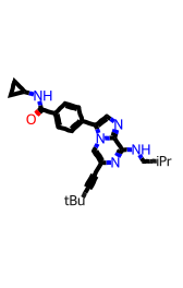 CC(C)CNc1nc(C#CC(C)(C)C)cn2c(-c3ccc(C(=O)NC4CC4)cc3)cnc12